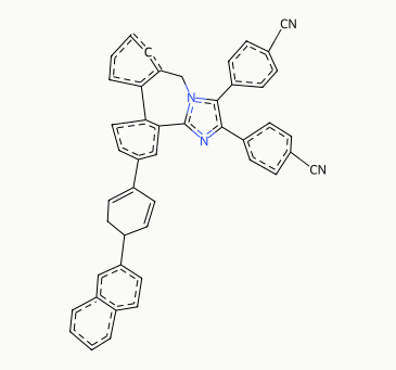 N#Cc1ccc(-c2nc3n(c2-c2ccc(C#N)cc2)Cc2ccccc2-c2ccc(C4=CCC(c5ccc6ccccc6c5)C=C4)cc2-3)cc1